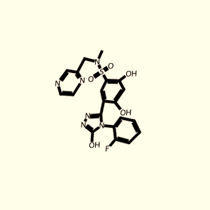 CN(Cc1cnccn1)S(=O)(=O)c1cc(-c2nnc(O)n2-c2ccccc2F)c(O)cc1O